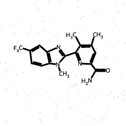 Cc1cc(C(N)=O)nc(-c2nc3cc(C(F)(F)F)ccc3n2C)c1C